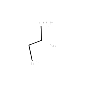 CCCCCC(=O)O.[Sn]